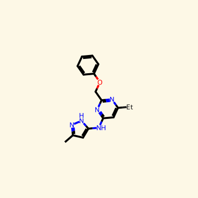 CCc1cc(Nc2cc(C)n[nH]2)nc(COc2ccccc2)n1